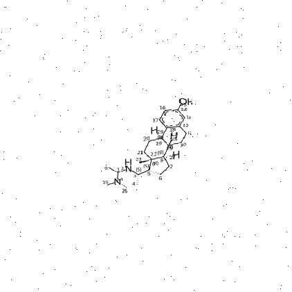 CC(N[C@@H](C)[C@H]1CC[C@@H]2[C@H]3CCc4cc(O)ccc4[C@@H]3CC[C@]21C)N(C)C